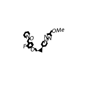 COCc1cnc(N2CCC([C@H]3C[C@H]3CCOc3ccc(CC(=O)N4CCCCC4)c(F)c3)CC2)nc1